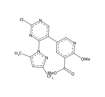 COC(=O)c1cc(-c2cnc(Cl)nc2-n2nc(C(F)(F)F)cc2C)cnc1OC